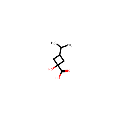 CC(C)C1CC(O)(C(=O)O)C1